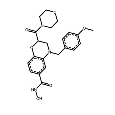 COc1ccc(CN2CC(C(=O)N3CCOCC3)Oc3ccc(C(=O)NO)cc32)cc1